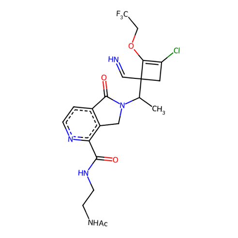 CC(=O)NCCNC(=O)c1nccc2c1CN(C(C)C1(C=N)CC(Cl)=C1OCC(F)(F)F)C2=O